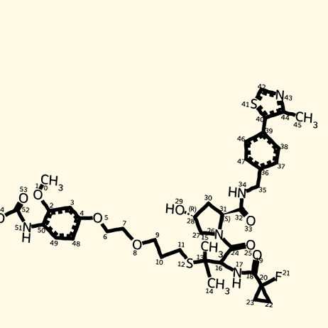 COc1cc(OCCOCCCSC(C)(C)C(NC(=O)C2(F)CC2)C(=O)N2C[C@H](O)C[C@H]2C(=O)NCc2ccc(-c3scnc3C)cc2)ccc1NC(=O)O